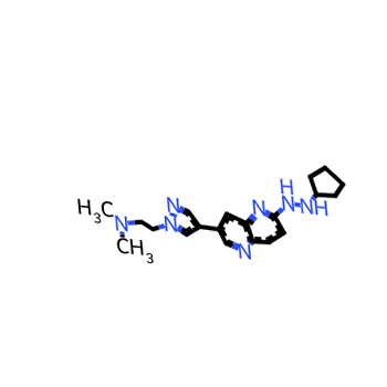 CN(C)CCn1cc(-c2cnc3ccc(NNC4CCCC4)nc3c2)cn1